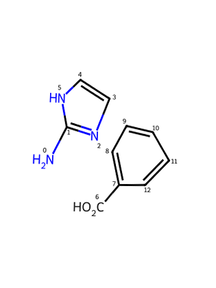 Nc1ncc[nH]1.O=C(O)c1ccccc1